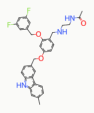 CC(=O)NCCNCc1ccc(OCc2ccc3[nH]c4cc(C)ccc4c3c2)cc1OCc1cc(F)cc(F)c1